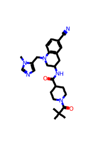 Cn1cncc1CN1CC(NC(=O)C2CCN(C(=O)C(C)(C)C)CC2)Cc2cc(C#N)ccc21